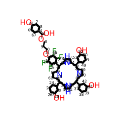 Oc1ccc(C(O)OCCCOc2c(F)c(F)c(-c3c4nc(c(-c5cccc(O)c5)c5ccc([nH]5)c(-c5cccc(O)c5)c5nc(c(-c6cccc(O)c6)c6ccc3[nH]6)C=C5)C=C4)c(F)c2F)cc1